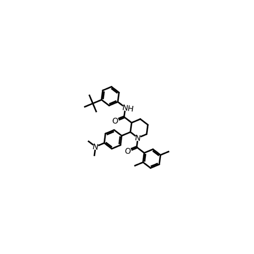 Cc1ccc(C)c(C(=O)N2CCCC(C(=O)Nc3cccc(C(C)(C)C)c3)C2c2ccc(N(C)C)cc2)c1